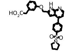 O=C(O)Cc1cccc(OCc2cc3c(-c4ccc(S(=O)(=O)N5CCCC5)cc4)ccnc3[nH]2)c1